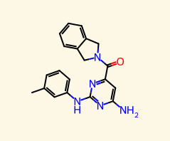 Cc1cccc(Nc2nc(N)cc(C(=O)N3Cc4ccccc4C3)n2)c1